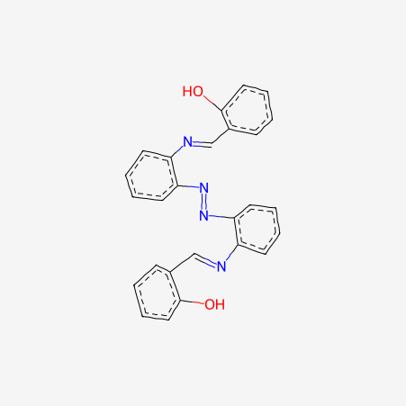 Oc1ccccc1/C=N/c1ccccc1/N=N/c1ccccc1/N=C/c1ccccc1O